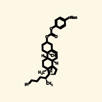 CCCCCCCCCc1ccc(OC(=O)OC2CC[C@@]3(C)C(=CC[C@H]4[C@@H]5CC[C@H]([C@H](C)CCCC(C)C)[C@@]5(C)CC[C@@H]43)C2)cc1